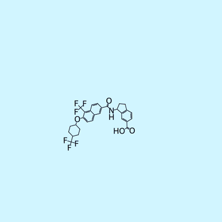 O=C(O)c1ccc2c(c1)C(NC(=O)c1ccc3c(C(F)(F)F)c(OC4CCC(C(F)(F)F)CC4)ccc3c1)CC2